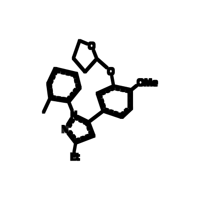 CCc1cc(-c2ccc(OC)c(OC3CCCO3)c2)n(-c2ccccc2C)n1